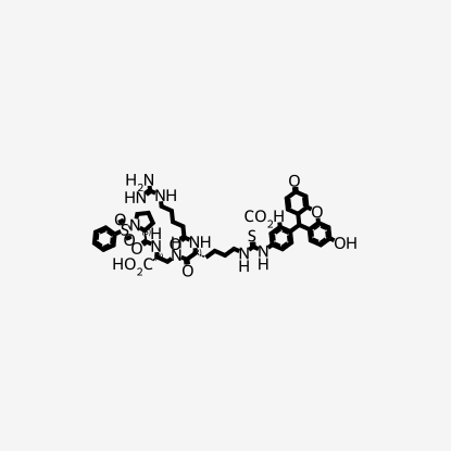 N=C(N)NCCCCC(=O)N[C@H](CCCCNC(=S)Nc1ccc(C2c3ccc(O)cc3OC3=CC(=O)C=CC32)c(C(=O)O)c1)C(=O)NC[C@@H](NC(=O)[C@@H]1CCCN1S(=O)(=O)c1ccccc1)C(=O)O